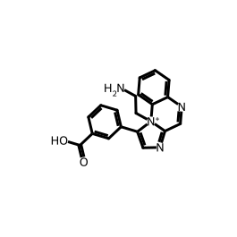 NCC[N+]12C(c3cccc(C(=O)O)c3)=CN=C1C=Nc1ccccc12